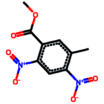 COC(=O)c1cc(C)c([N+](=O)[O-])cc1[N+](=O)[O-]